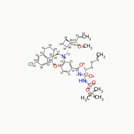 C=CCCCS(=O)(=NC(=O)c1ccc2c(c1)N(C[C@@H]1CC[C@H]1[C@H](C=C)OC)C[C@@]1(CCCc3cc(Cl)ccc31)CO2)NC(=O)OC(C)(C)C